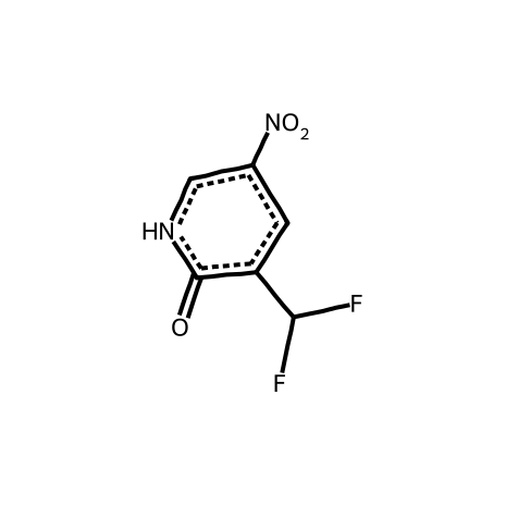 O=c1[nH]cc([N+](=O)[O-])cc1C(F)F